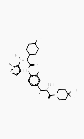 CCn1nccc1N(C=O)[C@H](C(=O)Nc1ccc([C@H](C)[C@@H](N)C(=O)N2CCC(C)(O)CC2)cc1F)C1CCC(C)CC1